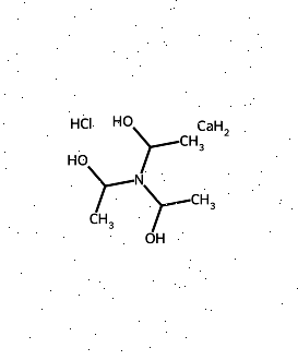 CC(O)N(C(C)O)C(C)O.Cl.[CaH2]